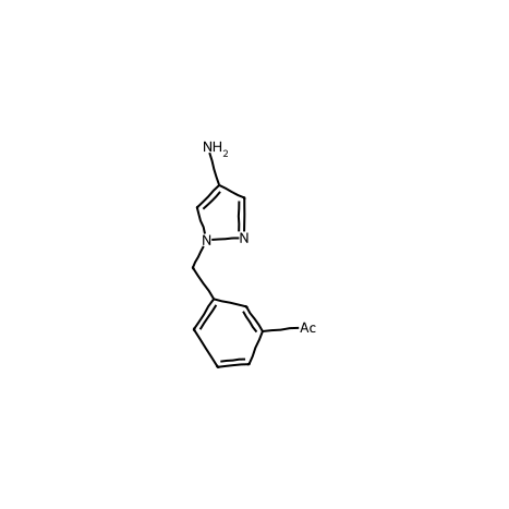 CC(=O)c1cccc(Cn2cc(N)cn2)c1